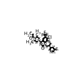 C=CC(=O)N1[C@H](C)CN(c2nc(=O)n3c4c(c(Cl)c(C(F)(F)F)cc24)SC[C@@H](c2cncc(F)c2)C3)C[C@@H]1C